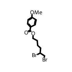 COc1ccc(C(=O)OCCCCC(Br)CBr)cc1